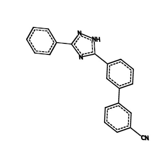 N#Cc1cccc(-c2cccc(-c3nc(-c4ccccc4)n[nH]3)c2)c1